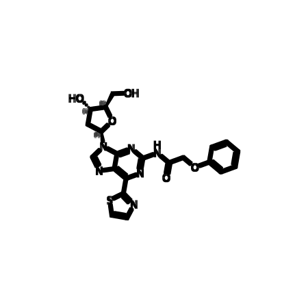 O=C(COc1ccccc1)Nc1nc(-c2nccs2)c2ncn([C@H]3C[C@H](O)[C@@H](CO)O3)c2n1